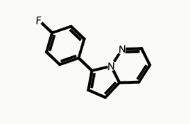 Fc1ccc(-c2ccc3cccnn23)cc1